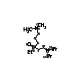 CCP(=O)(CCCN(C)C)CCN(C(C)C)C(C)C